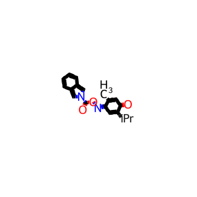 CC1=CC(=O)C(C(C)C)=CC1=NOC(=O)n1cc2ccccc2c1